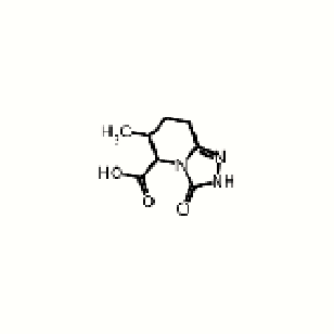 CC1CCc2n[nH]c(=O)n2C1C(=O)O